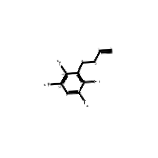 C=CCCc1c(F)c(F)cc(F)c1F